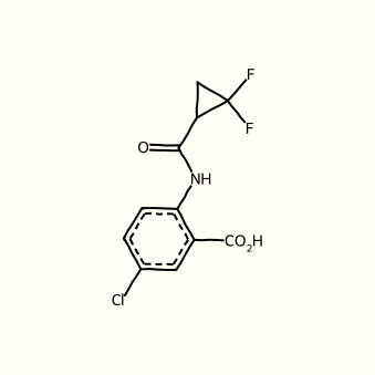 O=C(O)c1cc(Cl)ccc1NC(=O)C1CC1(F)F